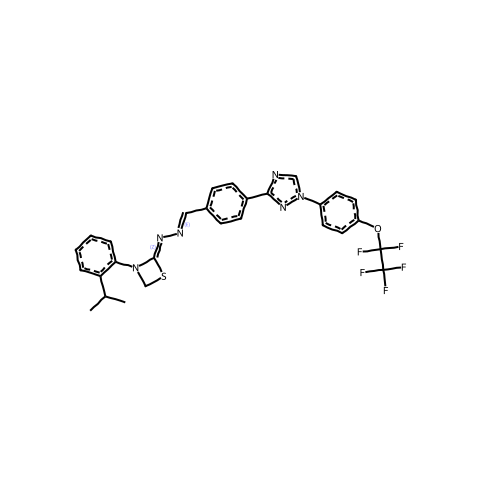 CC(C)c1ccccc1N1CS/C1=N\N=C\c1ccc(-c2ncn(-c3ccc(OC(F)(F)C(F)(F)F)cc3)n2)cc1